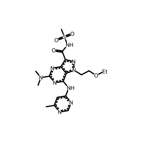 CCOCCn1nc(C(=O)NS(C)(=O)=O)c2nc(N(C)C)nc(Nc3cc(C)ncn3)c21